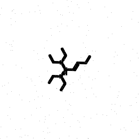 CCC=C[SiH](N(CC)CC)N(CC)CC